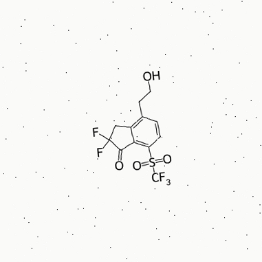 O=C1c2c(S(=O)(=O)C(F)(F)F)ccc(CCO)c2CC1(F)F